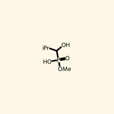 COP(=O)(O)C(O)C(C)C